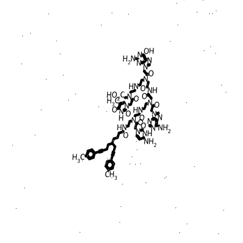 Cc1ccc(C#CCCC(CC#Cc2ccc(C)cc2)CCCC(=O)NCCN(CC(=O)NCCN(CC(=O)NCCN(CC(=O)NCCN(CC(=O)O)C(=O)Cn2cc(C)c(=O)[nH]c2=O)C(=O)Cn2cnc3c(O)nc(N)nc32)C(=O)Cn2cnc3c(N)ncnc32)C(=O)CN2C=CC(N)NC2=O)cc1